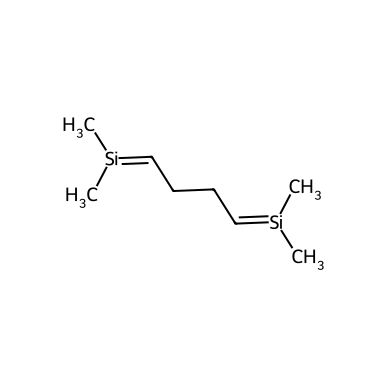 C[Si](C)=CCCC=[Si](C)C